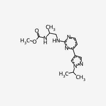 COC(=O)NC(C)CNc1nccc(-c2cnn(C(C)C)c2)n1